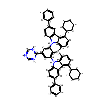 c1ccc(-c2ccc3c(c2)c2c(C4CCCCC4)ccc4c2n3-c2cc(-c3ncncn3)cc3c2B4c2ccc(C4CCCCC4)c4c5cc(-c6ccccc6)ccc5n-3c24)cc1